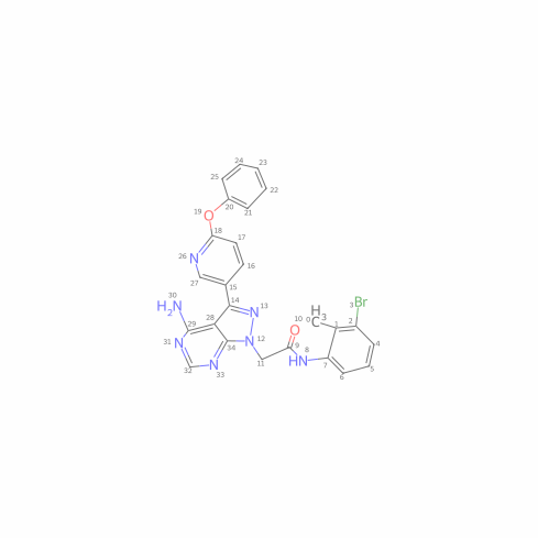 Cc1c(Br)cccc1NC(=O)Cn1nc(-c2ccc(Oc3ccccc3)nc2)c2c(N)ncnc21